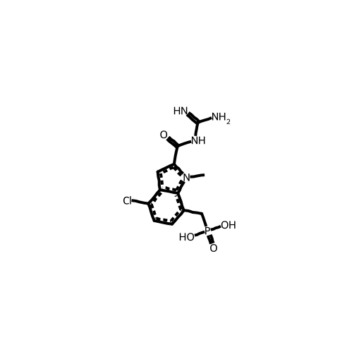 Cn1c(C(=O)NC(=N)N)cc2c(Cl)ccc(CP(=O)(O)O)c21